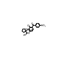 C[C](C)C(Oc1ccc(C(=O)c2ccc([N+](=O)[O-])cc2)c(Cl)c1Cl)C1(C(=O)O)CCCC1